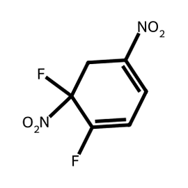 O=[N+]([O-])C1=CC=C(F)C(F)([N+](=O)[O-])C1